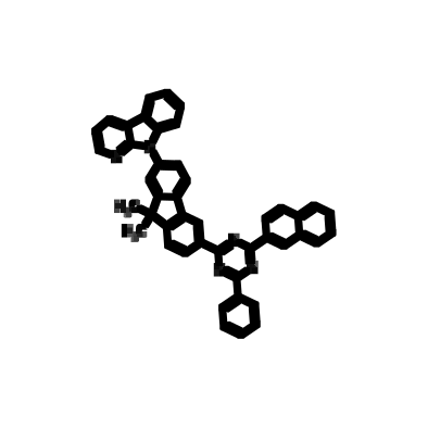 CC1(C)c2ccc(-c3nc(-c4ccccc4)nc(-c4ccc5ccccc5c4)n3)cc2-c2ccc(-n3c4ccccc4c4cccnc43)cc21